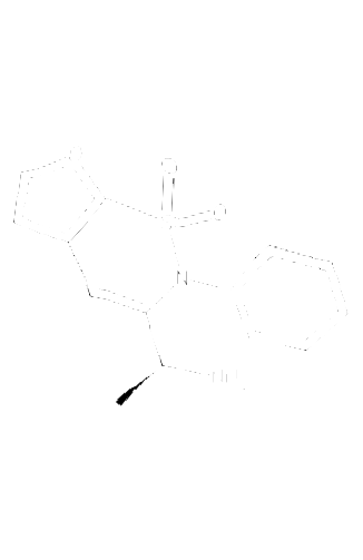 C[C@H](N)C1=Cc2ccoc2S(=O)(=O)N1c1ccccc1